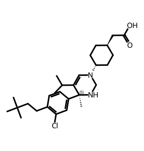 CC(C)C1=CN([C@H]2CC[C@H](CC(=O)O)CC2)CN[C@@]1(C)c1ccc(CCC(C)(C)C)c(Cl)c1